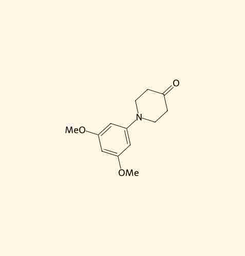 COc1cc(OC)cc(N2CCC(=O)CC2)c1